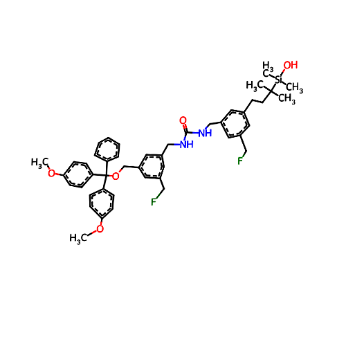 COc1ccc(C(OCc2cc(CF)cc(CNC(=O)NCc3cc(CF)cc(CCC(C)(C)[Si](C)(C)O)c3)c2)(c2ccccc2)c2ccc(OC)cc2)cc1